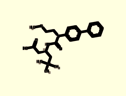 COCCN(C(=O)N[C@H](CC(=O)O)C[N+](C)(C)C)c1ccc(-c2ccccc2)cc1